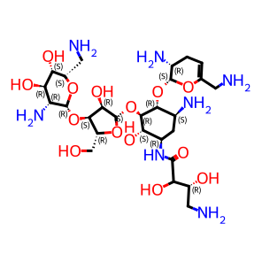 NCC1=CC[C@@H](N)[C@@H](O[C@H]2[C@H](O[C@@H]3O[C@H](CO)[C@@H](O[C@H]4O[C@@H](CN)[C@@H](O)[C@H](O)[C@H]4N)[C@H]3O)[C@@H](O)[C@H](NC(=O)C(O)[C@H](O)CN)C[C@@H]2N)O1